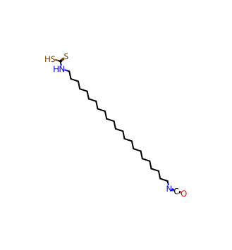 O=C=NCCCCCCCCCCCCCCCCCCCCCCCNC(=S)S